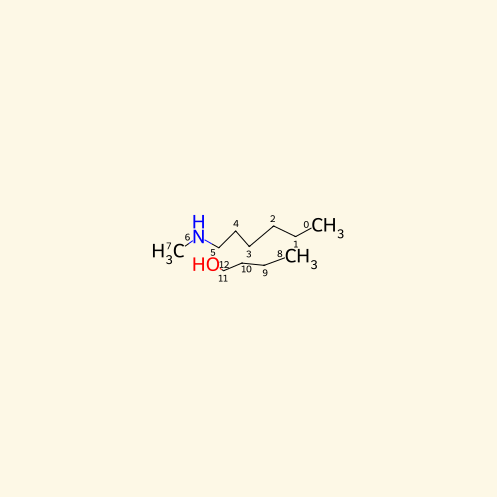 CCCCCCNC.CCCCO